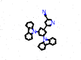 N#Cc1cncc(-c2cc(-n3c4ccccc4c4ccccc43)cc(-n3c4ccccc4c4ccccc43)c2)c1